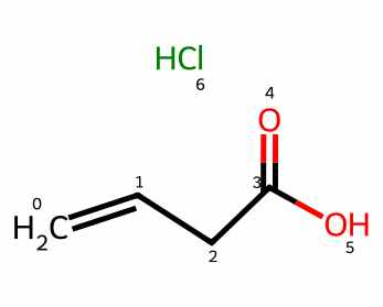 C=CCC(=O)O.Cl